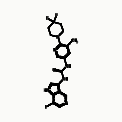 Cc1cc(NC(=O)Nc2c[nH]c3c(F)cncc23)cnc1N1CCC(F)(F)CC1